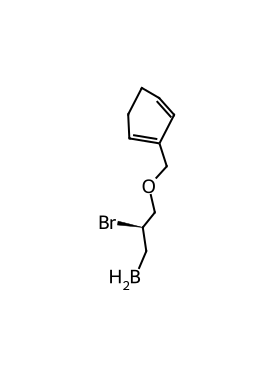 BC[C@@H](Br)COCC1=CCCC=C1